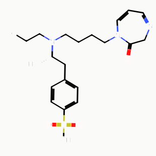 CCCN(CCCCN1C=CC=NCC1=O)[C@@H](C)Cc1ccc(S(C)(=O)=O)cc1